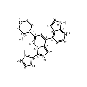 C[C@@H]1COCCN1c1cc(-c2ccnc3[nH]ccc23)c2cnc(-c3ccn[nH]3)n2n1